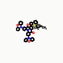 C=C(/C=C\C=C/C)[SH](C)(c1ccccc1)(c1ccccc1)c1cc2c(=O)c3cc(N4C5=C(CCC=C5)Oc5ccccc54)ccc3n3c4ccc(N5c6ccccc6Oc6ccccc65)cc4c(=O)c(c1)c23